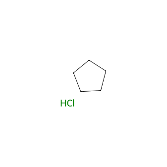 C1CCCC1.Cl